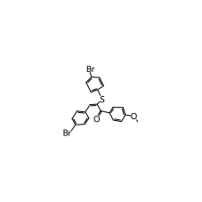 COc1ccc(C(=O)C(=Cc2ccc(Br)cc2)Sc2ccc(Br)cc2)cc1